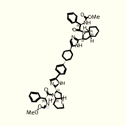 COO/C=N\[C@@H](C(=O)N1[C@@H]2CCCC[C@@H]2C[C@H]1c1ncc(-c2ccc([C@H]3CC[C@H](c4cnc([C@@H]5C[C@H]6CCCC[C@H]6N5C(=O)[C@H](NC(=O)OC)c5ccccc5)[nH]4)CC3)cc2)[nH]1)c1ccccc1